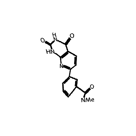 CNC(=O)c1cccc(-c2ccc3c(=O)[nH]c(=O)[nH]c3n2)c1